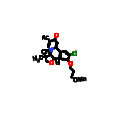 COCCCOc1cc2c(cc1Cl)-c1cc(=O)c(C(C)=O)cn1[C@H]1[C@@H]2OCC1(C)C